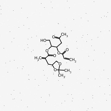 C=CC(=O)OC(CC(C)=O)C(CO)OC(=O)C(=C)CC1COC(C)(C)O1